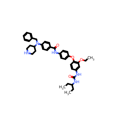 CCOc1cc(NC(=O)NC(CC)CC)ccc1Oc1ccc(NC(=O)c2ccc(N(Cc3ccccc3)C3CCNCC3)cc2)cc1